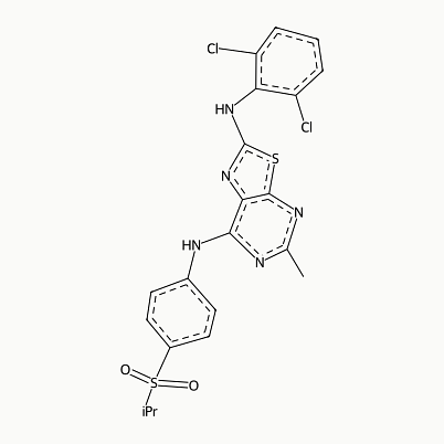 Cc1nc(Nc2ccc(S(=O)(=O)C(C)C)cc2)c2nc(Nc3c(Cl)cccc3Cl)sc2n1